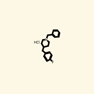 Cl.Fc1ccc(CC2CCN(Cc3ccccc3)CC2)cc1